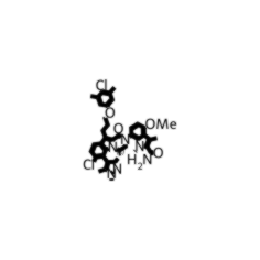 COc1ccc(N2C[C@@H](C)n3c(c(CCCOc4cc(C)c(Cl)c(C)c4)c4ccc(Cl)c(-c5c(C)nn(C)c5C)c43)C2=O)c2c1c(C)c(C(N)=O)n2C